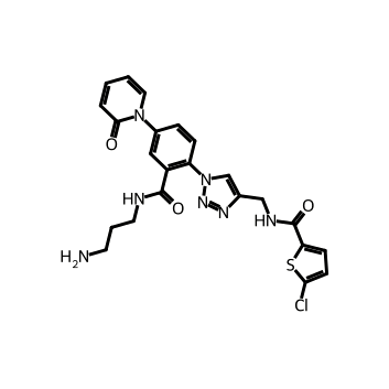 NCCCNC(=O)c1cc(-n2ccccc2=O)ccc1-n1cc(CNC(=O)c2ccc(Cl)s2)nn1